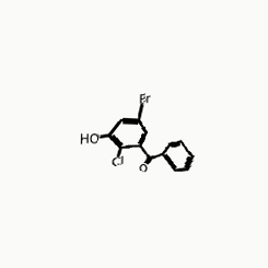 O=C(c1ccccc1)c1cc(Br)cc(O)c1Cl